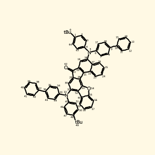 CC(C)(C)c1ccc(N(c2ccc(-c3ccccc3)cc2)c2cc3c(c4ccccc24)-c2c(cc(N(c4ccc(-c5ccccc5)cc4)c4ccc(C(C)(C)C)cc4)c4c2oc2ccccc24)C3=O)cc1